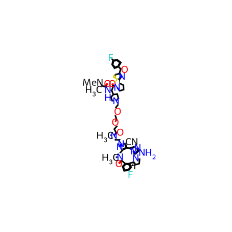 CN[C@H](C)C(=O)N[C@@H](C(=O)N1CCC[C@@H]1C1=NC(C(=O)c2ccc(F)cc2)CS1)C1CCN(CCOCCOCCC(=O)N(C)CCn2nc3c(c2C#N)-c2cnc(N)c(n2)N2CCC[C@@H]2c2cc(F)ccc2C(=O)N(C)C3)CC1